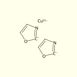 [Cu+2].[c-]1ncco1.[c-]1ncco1